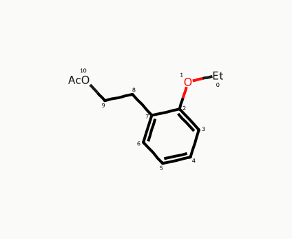 CCOc1ccccc1CCOC(C)=O